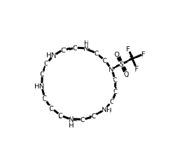 O=S(=O)(N1CCCNCCNCCCNCCNCCNCC1)C(F)(F)F